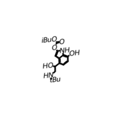 CC(C)COC(=O)Oc1cc2c(C(O)CNC(C)(C)C)ccc(O)c2[nH]1